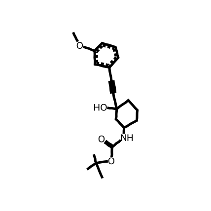 COc1cccc(C#CC2(O)CCCC(NC(=O)OC(C)(C)C)C2)c1